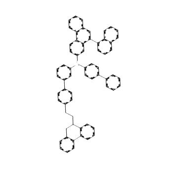 c1ccc(-c2ccc(N(c3cccc(-c4ccc(CCC5Cc6ccccc6-c6ccccc65)cc4)c3)c3ccc4c(c3)c(-c3cccc5ccccc35)cc3ccccc34)cc2)cc1